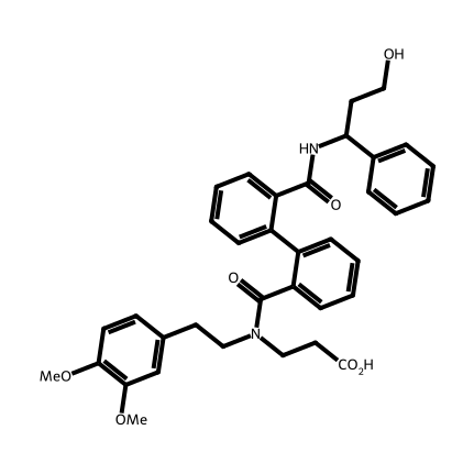 COc1ccc(CCN(CCC(=O)O)C(=O)c2ccccc2-c2ccccc2C(=O)NC(CCO)c2ccccc2)cc1OC